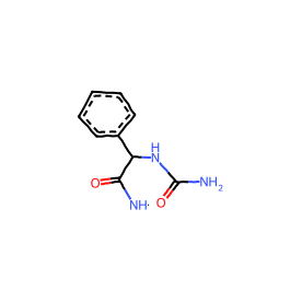 [NH]C(=O)C(NC(N)=O)c1ccccc1